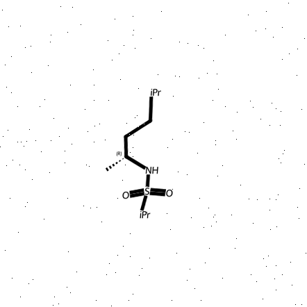 CC(C)CC[C@@H](C)NS(=O)(=O)C(C)C